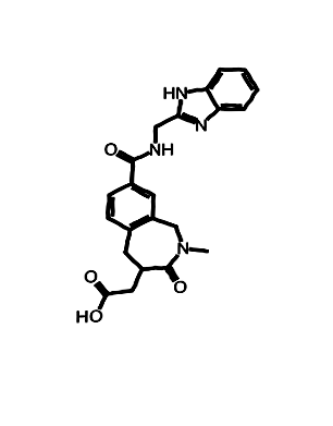 CN1Cc2cc(C(=O)NCc3nc4ccccc4[nH]3)ccc2CC(CC(=O)O)C1=O